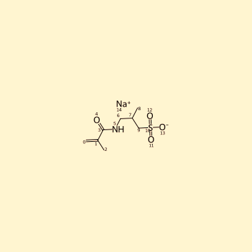 C=C(C)C(=O)NCC(C)CS(=O)(=O)[O-].[Na+]